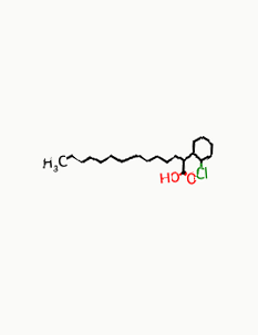 CCCCCCCCCCCCC(C(=O)O)C1CCCCC1Cl